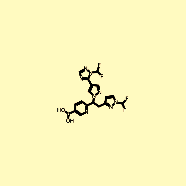 OB(O)c1ccc(C(Cc2ccn(C(F)F)n2)n2cc(-c3ncnn3C(F)F)cn2)nc1